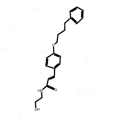 O=C(/C=C/c1ccc(OCCCCc2ccccc2)cc1)NCCO